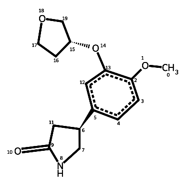 COc1ccc([C@H]2CNC(=O)C2)cc1O[C@@H]1CCOC1